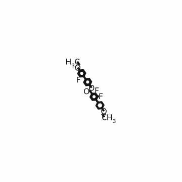 CCOc1ccc(-c2ccc(OC(=O)c3ccc(C4CCC(OCC)CC4)c(F)c3F)cc2)c(F)c1